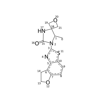 CC1N(c2nc3c4c(ccc3s2)OCC4)C(=O)NC12COC2